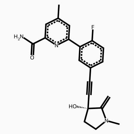 C=C1N(C)CC[C@@]1(O)C#Cc1ccc(F)c(-c2cc(C)cc(C(N)=O)n2)c1